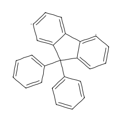 [c]1ccc2c(c1)C(c1ccccc1)(c1ccccc1)c1ccc[c]c1-2